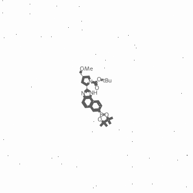 COC[C@H]1C[C@@H](c2nc3ccc4cc(B5OC(C)(C)C(C)(C)O5)ccc4c3[nH]2)N(C(=O)OC(C)(C)C)C1